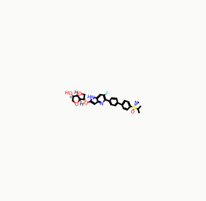 CN=S(=O)(c1ccc(-c2ccc(-c3nc4cc(O[C@@H]5CO[C@H]6[C@@H]5OC[C@H]6O)[nH]c4cc3F)cc2)cc1)C(C)C